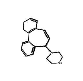 C1=CC2=C(CC1)c1ccccc1C(N1CCNCC1)C=C2